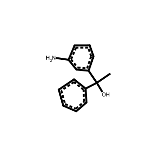 CC(O)(c1ccccc1)c1cccc(N)c1